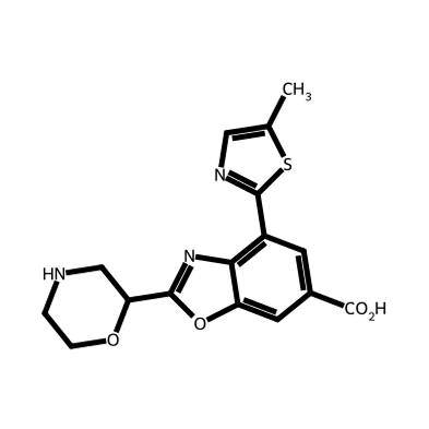 Cc1cnc(-c2cc(C(=O)O)cc3oc(C4CNCCO4)nc23)s1